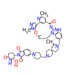 Cc1cc2cc(n1)-c1cnn(C)c1OCCC[C@@H](C)CN1/C(=N/C2=O)Nc2ccc(CN3CCC4(CC3)CCN(CC3CCN(c5ccc6c(c5)C(=O)N(C5CCC(=O)NC5O)C6=O)CC3)CC4)cc21